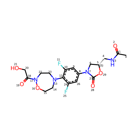 CC(=O)NC[C@H]1CN(c2cc(F)c(N3CCON(C(=O)CO)CC3)c(F)c2)C(=O)O1